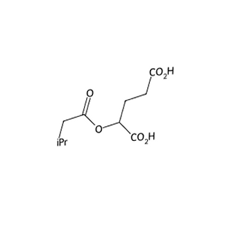 CC(C)CC(=O)OC(CCC(=O)O)C(=O)O